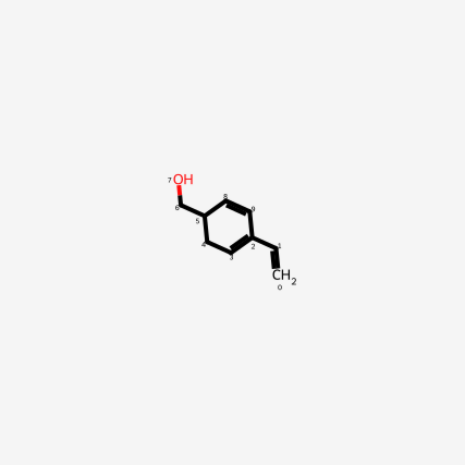 C=CC1=CCC(CO)C=C1